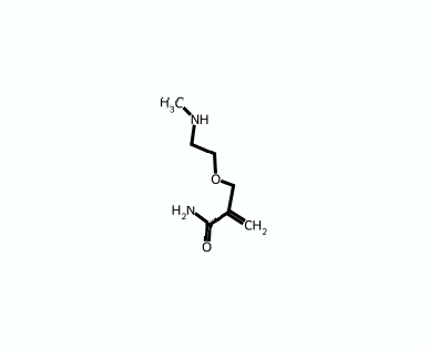 C=C(COCCNC)C(N)=O